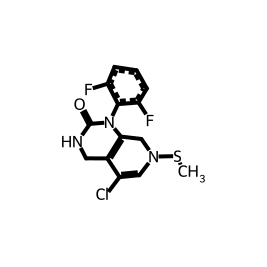 CSN1C=C(Cl)C2=C(C1)N(c1c(F)cccc1F)C(=O)NC2